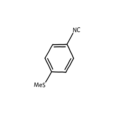 [C-]#[N+]c1ccc(SC)cc1